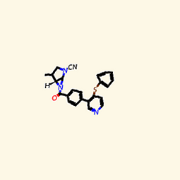 CC1CN(C#N)C2[C@@H]1N2C(=O)c1ccc(-c2cnccc2Sc2ccccc2)cc1